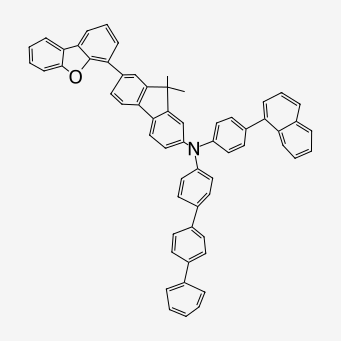 CC1(C)c2cc(-c3cccc4c3oc3ccccc34)ccc2-c2ccc(N(c3ccc(-c4ccc(-c5ccccc5)cc4)cc3)c3ccc(-c4cccc5ccccc45)cc3)cc21